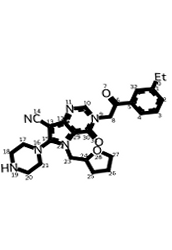 CCc1cccc(C(=O)Cn2cnc3c(C#N)c(N4CCNCC4)n(CC4CCCO4)c3c2=O)c1